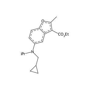 CCOC(=O)c1c(C)oc2ccc(N(CC3CC3)C(C)C)cc12